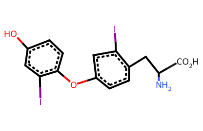 NC(Cc1ccc(Oc2ccc(O)cc2I)cc1I)C(=O)O